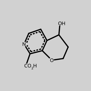 O=C(O)c1nccc2c1OCCC2O